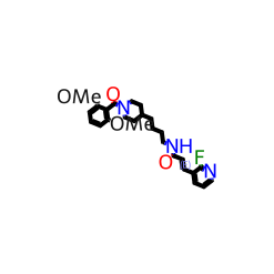 COc1cccc(OC)c1C(=O)N1CCC(CCCCNC(=O)/C=C/c2cccnc2F)CC1